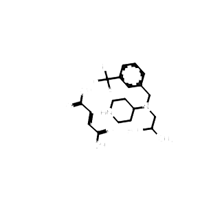 CC(C)CN(Cc1cccc(C(F)(F)F)c1)C1CCNCC1.O=C(O)/C=C/C(=O)O